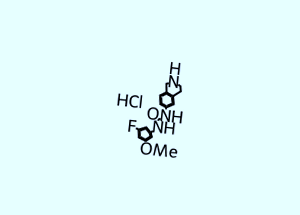 COc1cc(F)cc(NC(=O)Nc2ccc3c(c2)CCNC3)c1.Cl